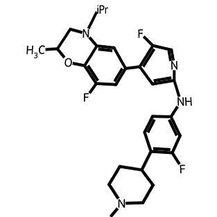 CC1CN(C(C)C)c2cc(-c3cc(Nc4ccc(C5CCN(C)CC5)c(F)c4)ncc3F)cc(F)c2O1